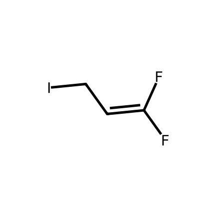 FC(F)=CCI